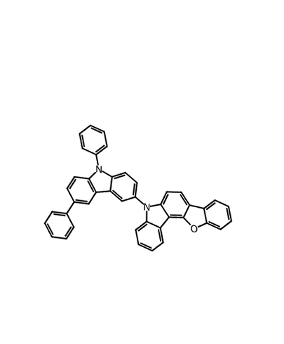 c1ccc(-c2ccc3c(c2)c2cc(-n4c5ccccc5c5c6oc7ccccc7c6ccc54)ccc2n3-c2ccccc2)cc1